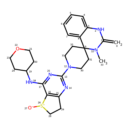 C=C1Nc2ccccc2C2(CCN(c3nc4c(c(NC5CCOCC5)n3)[S+]([O-])CC4)CC2)N1C